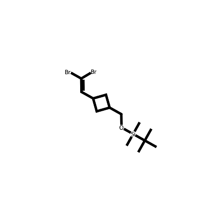 CC(C)(C)[Si](C)(C)OCC1CC(C=C(Br)Br)C1